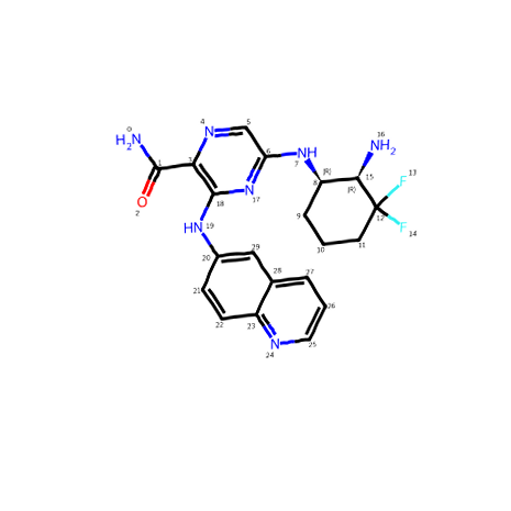 NC(=O)c1ncc(N[C@@H]2CCCC(F)(F)[C@@H]2N)nc1Nc1ccc2ncccc2c1